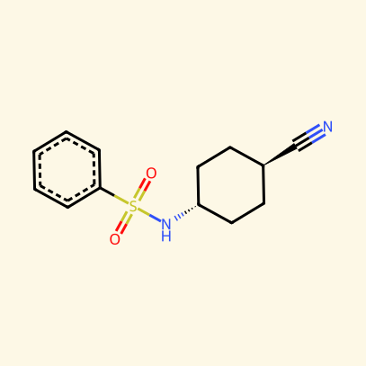 N#C[C@H]1CC[C@H](NS(=O)(=O)c2ccccc2)CC1